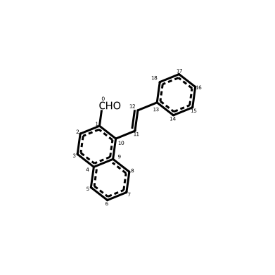 O=Cc1ccc2ccccc2c1/C=C/c1ccccc1